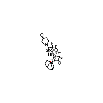 O=C1CCN(C(=O)C(F)(F)S(=O)(=O)NS(=O)(=O)C(F)(F)C(=O)OC23CC4CC(C2)C(=O)C(C4)C3)CC1